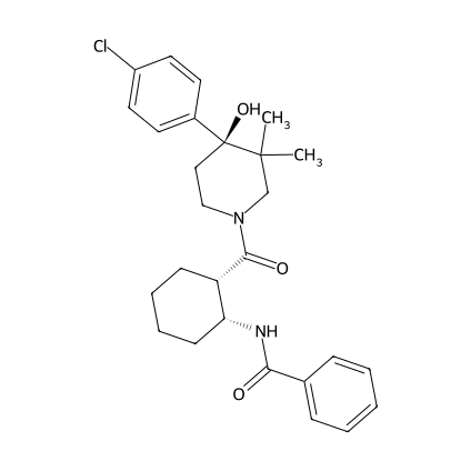 CC1(C)CN(C(=O)[C@H]2CCCC[C@H]2NC(=O)c2ccccc2)CC[C@]1(O)c1ccc(Cl)cc1